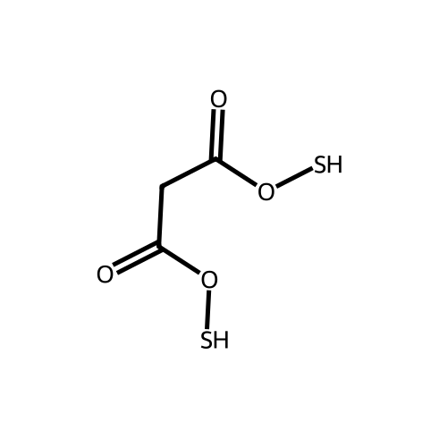 O=C(CC(=O)OS)OS